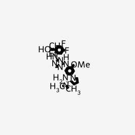 CCC(C)(O)c1cc(F)c(F)cc1Nc1ncnc(Nc2cc(N)c(N3CCC[C@@H]3CN(C)C)cc2OC)n1